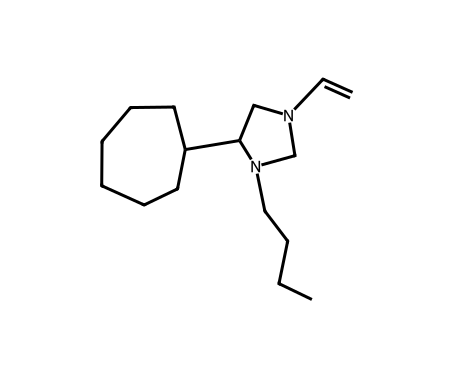 C=CN1CC(C2CCCCCC2)N(CCCC)C1